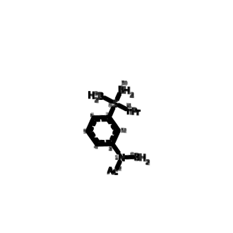 BN(C(C)=O)c1cccc(S(B)(B)CCC)c1